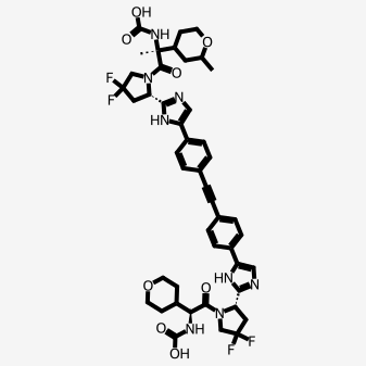 CC1CC([C@](C)(NC(=O)O)C(=O)N2CC(F)(F)C[C@H]2c2ncc(-c3ccc(C#Cc4ccc(-c5cnc([C@@H]6CC(F)(F)CN6C(=O)[C@@H](NC(=O)O)C6CCOCC6)[nH]5)cc4)cc3)[nH]2)CCO1